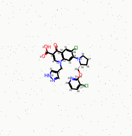 O=C(O)c1cn(Cc2cn[nH]c2)c2cc(N3CCC[C@@H]3COc3ncccc3Cl)c(Cl)cc2c1=O